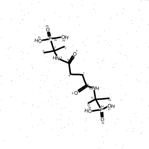 CC(C)(NC(=O)CCC(=O)NC(C)(C)P(=O)(O)O)P(=O)(O)O